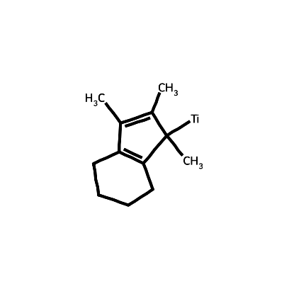 CC1=C(C)[C](C)([Ti])C2=C1CCCC2